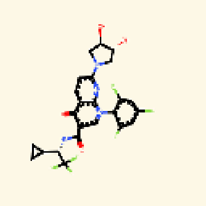 O=C(N[C@@H](C1CC1)C(F)(F)F)c1cn(-c2c(F)cc(F)cc2F)c2nc(N3C[C@@H](O)[C@H](O)C3)ccc2c1=O